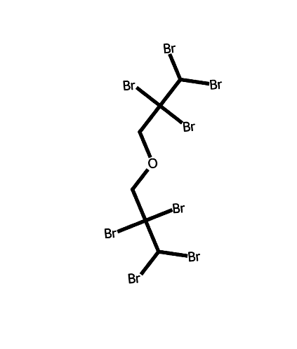 BrC(Br)C(Br)(Br)COCC(Br)(Br)C(Br)Br